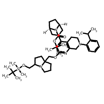 CC(C)c1ccccc1N1CCc2c(nc(OCC34CCCN3C(CO[Si](C)(C)C(C)(C)C)CC4)nc2N2C[C@H]3CC[C@@H](C2)N3C(=O)OC(C)(C)C)C1